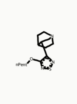 CCCCCOc1nsnc1C1CN2CCC1CC2